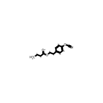 CCCC(=O)OCCc1ccc(OC#N)cc1